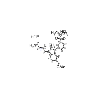 COCc1ccc2c(n1)c(-c1cccc(S(=O)(=O)N(C)C)c1)c(C)n2C/C(F)=C/CN.Cl.Cl